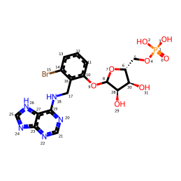 O=P(O)(O)OC[C@H]1OC(Oc2cccc(Br)c2CNc2ncnc3nc[nH]c23)[C@H](O)[C@@H]1O